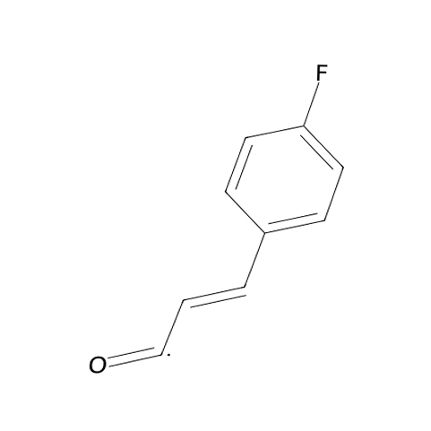 O=[C]/C=C/c1ccc(F)cc1